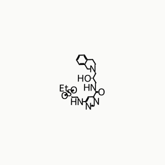 CCS(=O)(=O)CCNc1cc(C(=O)NC[C@H](O)CN2CCc3ccccc3C2)ncn1